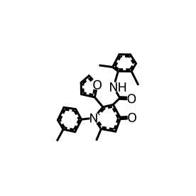 Cc1cccc(-n2c(C)cc(=O)c(C(=O)Nc3c(C)cccc3C)c2-c2ccco2)c1